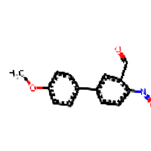 COc1ccc(-c2ccc(N=O)c(C=O)c2)cc1